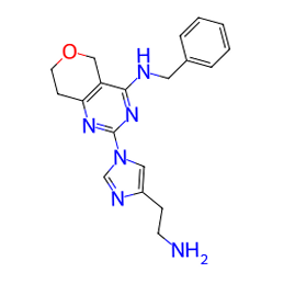 NCCc1cn(-c2nc3c(c(NCc4ccccc4)n2)COCC3)cn1